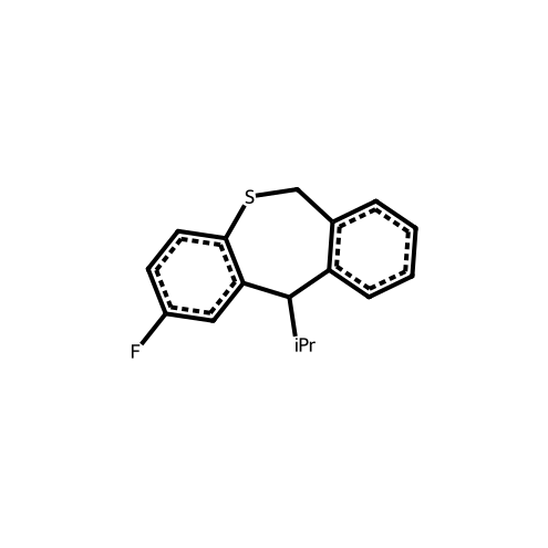 CC(C)C1c2ccccc2CSc2ccc(F)cc21